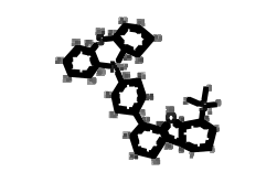 CS(C)(C)c1cccc2c1oc1c(-c3ccc(N4c5ccccc5Sc5ccccc54)cc3)cccc12